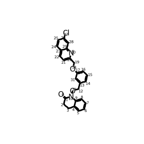 O=C1CCc2ccccc2N1OCc1cccc(OCc2ccc3ccc(Cl)cc3n2)c1